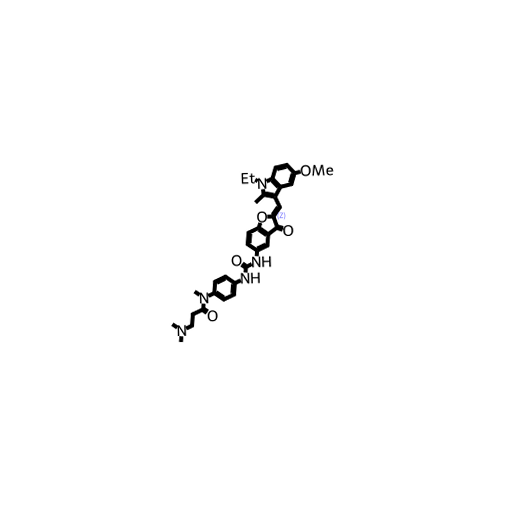 CCn1c(C)c(/C=C2\Oc3ccc(NC(=O)Nc4ccc(N(C)C(=O)CCN(C)C)cc4)cc3C2=O)c2cc(OC)ccc21